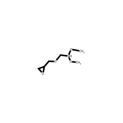 CO[SiH](COCC1CO1)OC